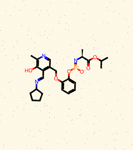 Cc1ncc(COc2ccccc2O[P+]([O-])=N[C@@H](C)C(=O)OC(C)C)c(/C=N/C2CCCC2)c1O